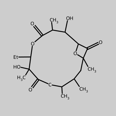 CCC1OC(=O)C(C)C(O)C2OC(C)(CC(C)C(C)CC(=O)C1(C)O)C2=O